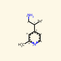 [2H]C(CN)c1ccnc(C)c1